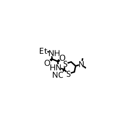 CCNC(=O)C(=O)NC1(C#N)SCC(N(C)C)CS1